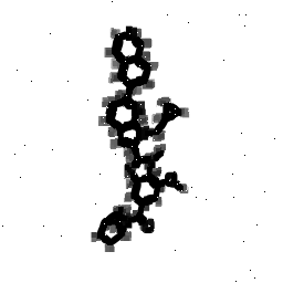 COc1cc(C(=O)N2CC3CCC2[C@@H]3C)cc2nc(-c3cc4ccc(-c5ccc6cnccc6c5)nc4n3CC3CC3)n(C)c12